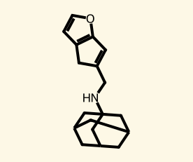 C1=C(CNC23CC4CC(CC(C4)C2)C3)Cc2ccoc21